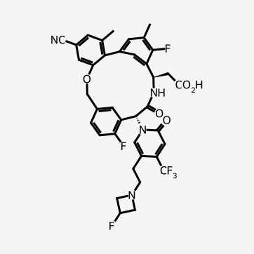 Cc1cc2cc(c1F)[C@@H](CC(=O)O)NC(=O)[C@H](n1cc(CCN3CC(F)C3)c(C(F)(F)F)cc1=O)c1cc(ccc1F)COc1cc(C#N)cc(C)c1-2